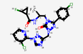 O=C(NC(Cn1c(-c2ccc(Cl)cc2)nn(Cc2ncn(-c3ncccc3Cl)n2)c1=O)C(F)(F)F)C1CC1F